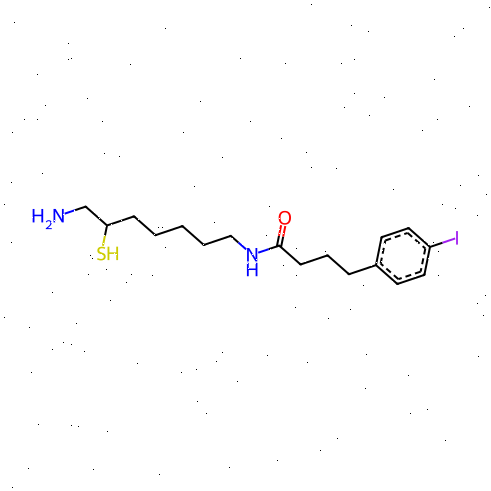 NCC(S)CCCCCNC(=O)CCCc1ccc(I)cc1